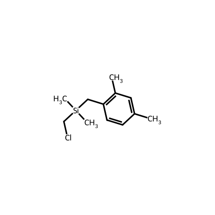 Cc1ccc(C[Si](C)(C)CCl)c(C)c1